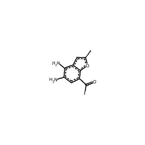 CC(=O)c1cc(N)c(N)c2cc(C)oc12